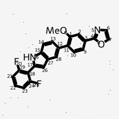 COc1cc(-c2ncco2)ccc1-c1ccc2[nH]c(-c3c(F)cccc3F)cc2c1